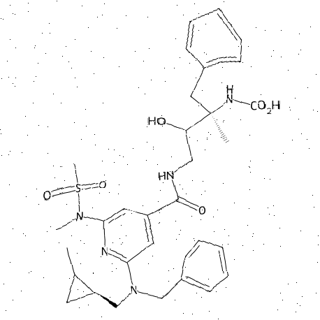 CC1C[C@@H]1CN(Cc1ccccc1)c1cc(C(=O)NCC(O)[C@@](C)(Cc2ccccc2)NC(=O)O)cc(N(C)S(C)(=O)=O)n1